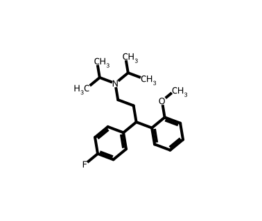 COc1ccccc1C(CCN(C(C)C)C(C)C)c1ccc(F)cc1